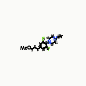 COCCCc1cc(F)c(N2CCN(C(C)C)CC2)c(F)c1